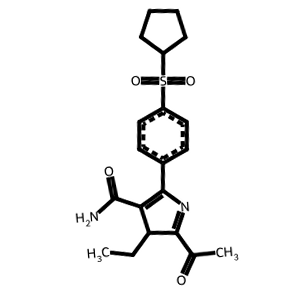 CCC1C(C(C)=O)=NC(c2ccc(S(=O)(=O)C3CCCC3)cc2)=C1C(N)=O